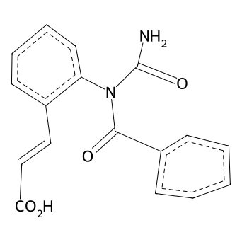 NC(=O)N(C(=O)c1ccccc1)c1ccccc1/C=C/C(=O)O